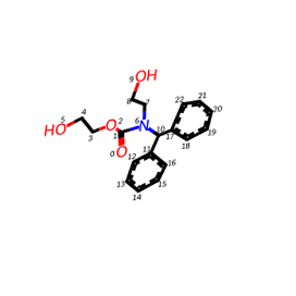 O=C(OCCO)N(CCO)C(c1ccccc1)c1ccccc1